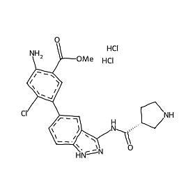 COC(=O)c1cc(-c2ccc3[nH]nc(NC(=O)[C@@H]4CCNC4)c3c2)c(Cl)cc1N.Cl.Cl